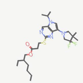 CCCCC(CC)COC(=O)CCSc1ncc2c(n1)c(N1CC(C)(C)C(F)(F)C1)cn2C(C)C